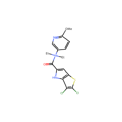 CC[N+](CC)(C(=O)c1cc2sc(Cl)c(Cl)c2[nH]1)c1ccc(OC)nc1